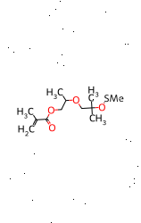 C=C(C)C(=O)OCC(C)OCC(C)(C)OSC